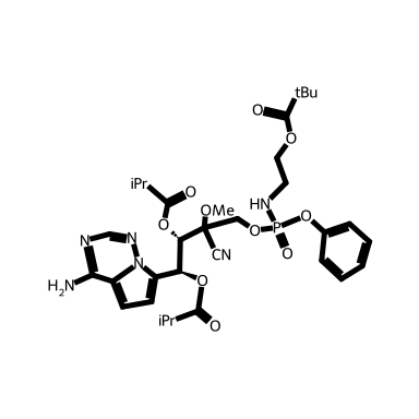 COC(C#N)(COP(=O)(NCCOC(=O)C(C)(C)C)Oc1ccccc1)[C@@H](OC(=O)C(C)C)[C@@H](OC(=O)C(C)C)c1ccc2c(N)ncnn12